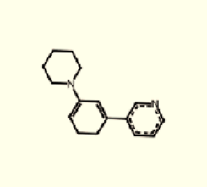 C1=C(c2cccnc2)CCC=C1N1CCCCC1